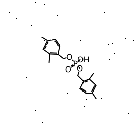 Cc1ccc(COP(=O)(O)OCc2ccc(C)cc2C)c(C)c1